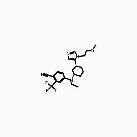 CCN(c1ccc(C#N)c(C(F)(F)F)c1)[C@@H]1CCC[C@H](c2cncn2CCOC)C1